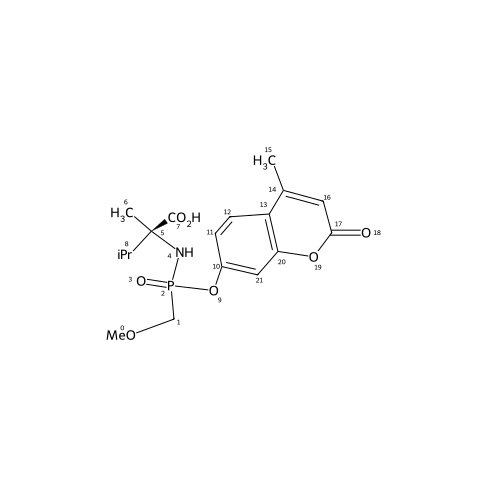 COCP(=O)(N[C@](C)(C(=O)O)C(C)C)Oc1ccc2c(C)cc(=O)oc2c1